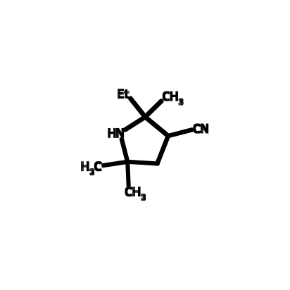 CCC1(C)NC(C)(C)CC1C#N